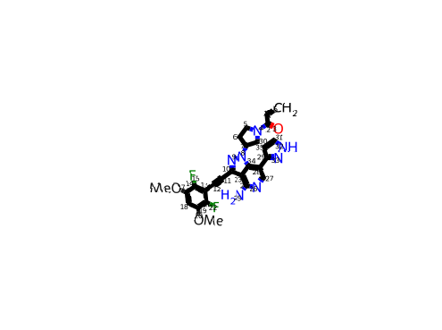 C=CC(=O)N1CCC(n2nc(C#Cc3c(F)c(OC)cc(OC)c3F)c3c(N)ncc(-c4cc[nH]n4)c32)C1